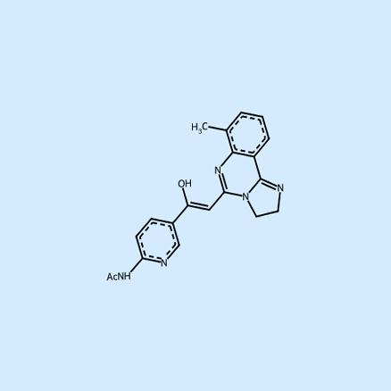 CC(=O)Nc1ccc(/C(O)=C/C2=Nc3c(C)cccc3C3=NCCN23)cn1